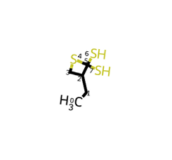 CCC1CSC1(S)S